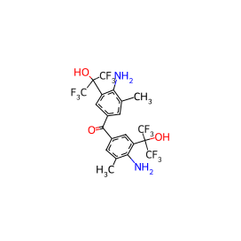 Cc1cc(C(=O)c2cc(C)c(N)c(C(O)(C(F)(F)F)C(F)(F)F)c2)cc(C(O)(C(F)(F)F)C(F)(F)F)c1N